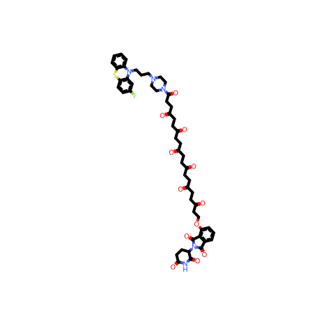 O=C(CCOc1cccc2c1C(=O)N(C1CCC(=O)NC1=O)C2=O)CCC(=O)CCC(=O)CCC(=O)CCC(=O)CCC(=O)CCC(=O)N1CCN(CCCN2c3ccccc3Sc3ccc(F)cc32)CC1